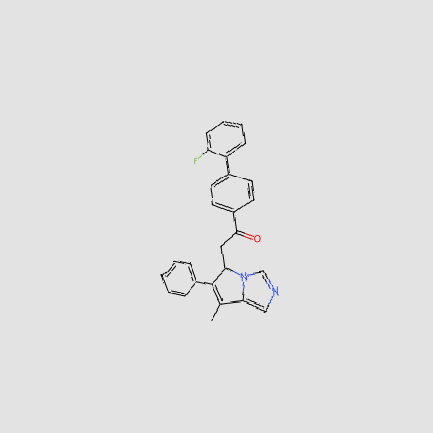 CC1=C(c2ccccc2)C(CC(=O)c2ccc(-c3ccccc3F)cc2)n2cncc21